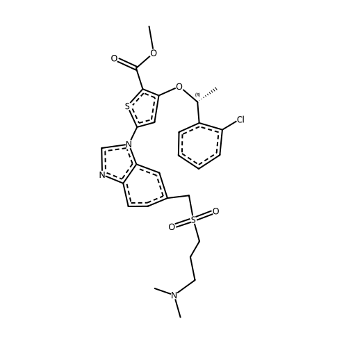 COC(=O)c1sc(-n2cnc3ccc(CS(=O)(=O)CCCN(C)C)cc32)cc1O[C@H](C)c1ccccc1Cl